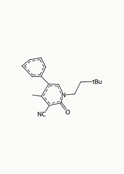 Cc1c(-c2ccccc2)cn(CCC(C)(C)C)c(=O)c1C#N